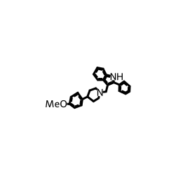 COc1ccc(C2CCN(Cc3c(-c4ccccc4)[nH]c4ccccc34)CC2)cc1